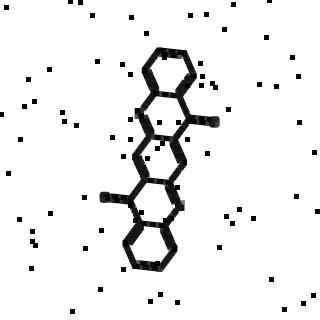 O=C1c2ccccc2N=c2cc3c(cc21)=Nc1ccccc1C3=O